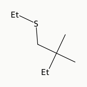 CCSCC(C)(C)CC